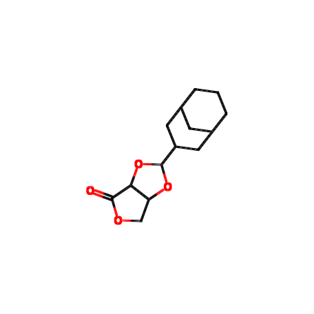 O=C1OCC2OC(C3CC4CCCC(C4)C3)OC12